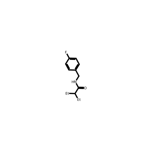 CCC(CC)C(=O)NCc1ccc(F)cc1